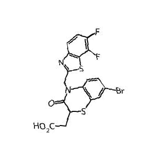 O=C(O)CC1Sc2cc(Br)ccc2N(Cc2nc3ccc(F)c(F)c3s2)C1=O